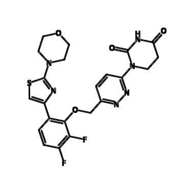 O=C1CCN(c2ccc(COc3c(-c4csc(N5CCOCC5)n4)ccc(F)c3F)nn2)C(=O)N1